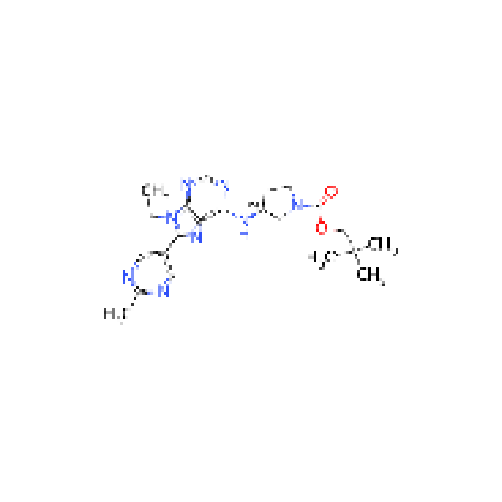 CCn1c(-c2cnc(C)nc2)nc2c(N[C@H]3CCN(C(=O)OCC(C)(C)C)C3)ncnc21